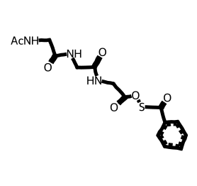 CC(=O)NCC(=O)NCC(=O)NCC(=O)OSC(=O)c1ccccc1